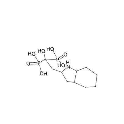 O=P(O)(O)C(O)(CC1CC2CCCCC2N1)P(=O)(O)O